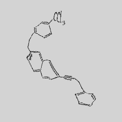 ClC(Cl)(Cl)c1ccc(Cc2ccc3ccc(C#CCc4ccccc4)cc3c2)cc1